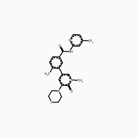 Cc1ccc(C(=O)Nc2cc(C(F)(F)F)ccn2)cc1-c1cc(N2CCOCC2)c(=O)n(C)c1